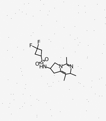 CC1=NC(C)C(C)=C2CC(NS(=O)(=O)C3CC(F)(F)C3)CN12